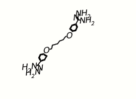 NN=C(N)c1ccc(OCCCCCCOc2ccc(C(N)=NN)cc2)cc1